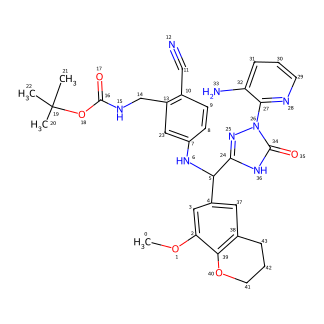 COc1cc(C(Nc2ccc(C#N)c(CNC(=O)OC(C)(C)C)c2)c2nn(-c3ncccc3N)c(=O)[nH]2)cc2c1OCCC2